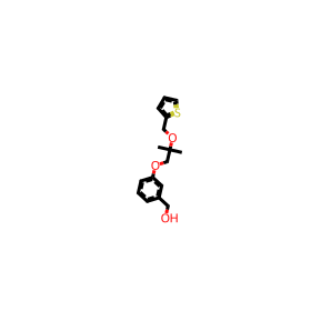 CC(C)(COc1cccc(CO)c1)OCc1cccs1